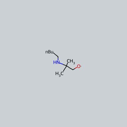 CCCCCNC(C)(C)C[O]